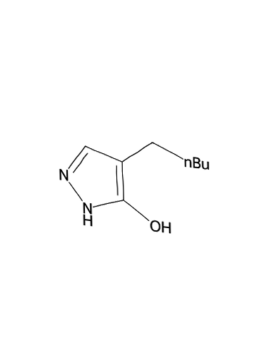 CCCCCc1cn[nH]c1O